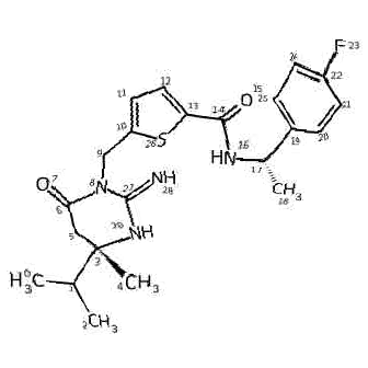 CC(C)[C@]1(C)CC(=O)N(Cc2ccc(C(=O)N[C@@H](C)c3ccc(F)cc3)s2)C(=N)N1